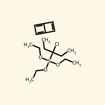 CCO[Si](OCC)(OCC)C(Cl)(CC)CC.c1cc2ccc1-2